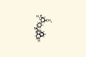 CC1=CC(N2CCN(C(=S)N/N=C3/CCNc4cccnc43)CC2)CC(C)=C1